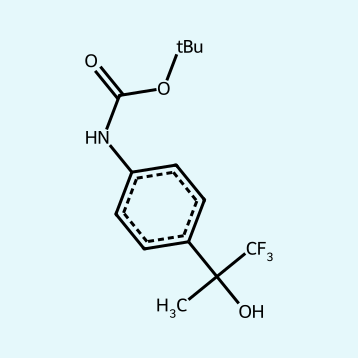 CC(C)(C)OC(=O)Nc1ccc(C(C)(O)C(F)(F)F)cc1